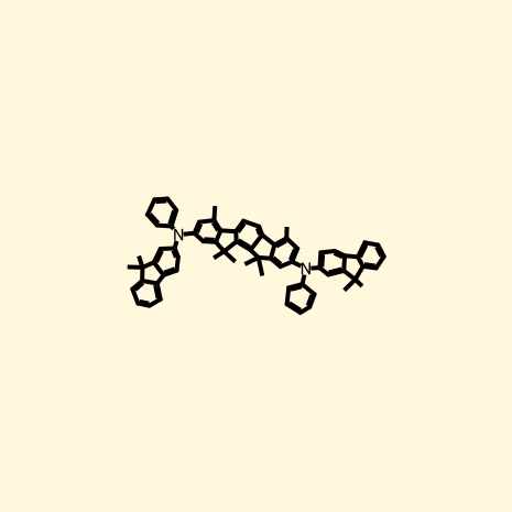 Cc1cc(N(c2ccccc2)c2ccc3c(c2)C(C)(C)c2ccccc2-3)cc2c1-c1ccc3c(c1C2(C)C)C(C)(C)c1cc(N(c2ccccc2)c2ccc4c(c2)C(C)(C)c2ccccc2-4)cc(C)c1-3